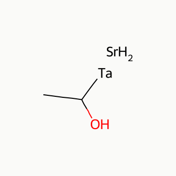 C[CH](O)[Ta].[SrH2]